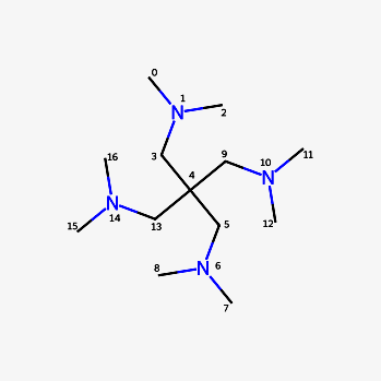 CN(C)CC(CN(C)C)(CN(C)C)CN(C)C